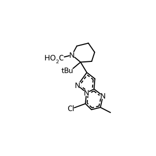 Cc1cc(Cl)n2nc(C3(C(C)(C)C)CCCCN3C(=O)O)cc2n1